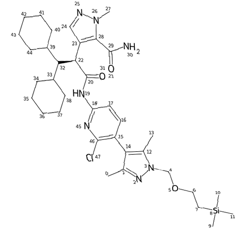 Cc1nn(COCC[Si](C)(C)C)c(C)c1-c1ccc(NC(=O)[C@H](c2cnn(C)c2C(N)=O)C(C2CCCCC2)C2CCCCC2)nc1Cl